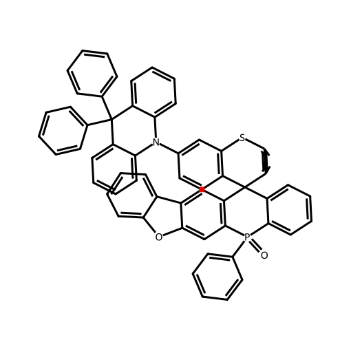 O=P1(c2ccccc2)c2ccccc2C2(c3ccccc3Sc3cc(N4c5ccccc5C(c5ccccc5)(c5ccccc5)c5ccccc54)ccc32)c2cc3c(cc21)oc1ccccc13